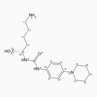 NCCCC[C@H](NC(=O)Nc1ccc(N2CCCCC2)cc1)C(=O)O